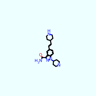 NC(=O)c1nn(C2CC[N]CC2)c2ccc(/C=C/C3CCNCC3)cc12